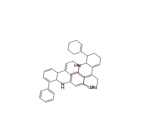 CC(C)(C)c1cc(NC2C(c3ccccc3)=CC=CC2C2=CCCC=C2)cc(NC2C(C3=CCCCC3)=CCCC2C2=CCCCC2)c1